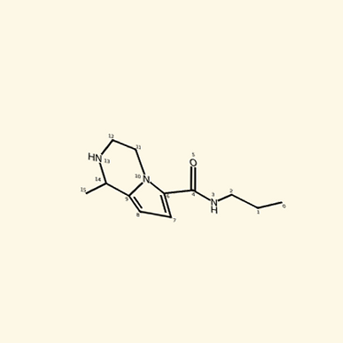 CCCNC(=O)c1ccc2n1CCNC2C